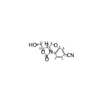 N#Cc1ccc2c(c1)OC[C@H]1[C@H](CO)OC(=O)N21